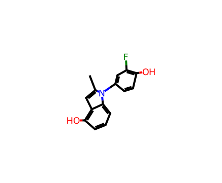 Cc1cc2c(O)cccc2n1-c1ccc(O)c(F)c1